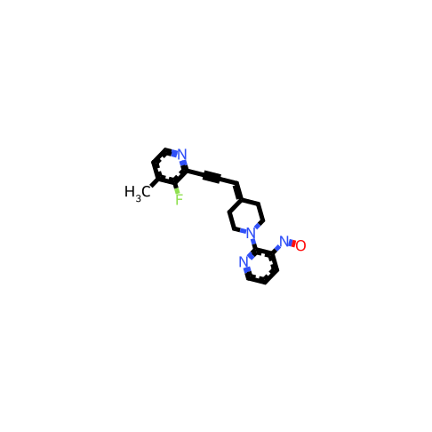 Cc1ccnc(C#CC=C2CCN(c3ncccc3N=O)CC2)c1F